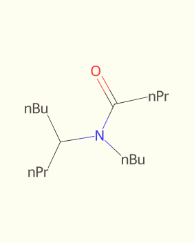 CCCCC(CCC)N(CCCC)C(=O)CCC